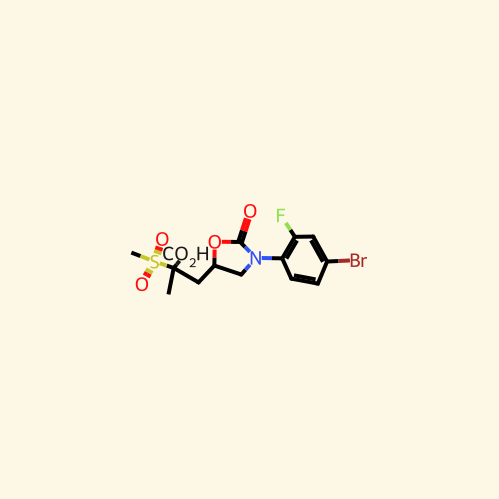 CC(CC1CN(c2ccc(Br)cc2F)C(=O)O1)(C(=O)O)S(C)(=O)=O